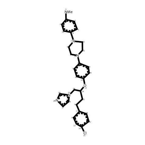 CNc1ccc(N2CCN(c3ccc(OC(CCc4ccc(Cl)cc4)Cn4ccnc4)cc3)CC2)cc1